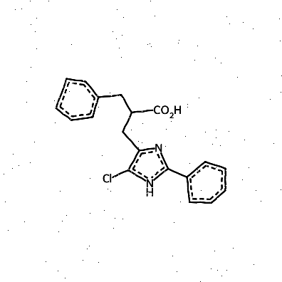 O=C(O)C(Cc1ccccc1)Cc1nc(-c2ccccc2)[nH]c1Cl